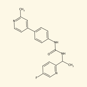 Cc1cc(-c2ccc(NC(=O)NC(C)c3ccc(F)cn3)cc2)ccn1